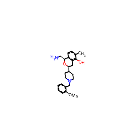 COc1ccccc1CN1CCC([C@@H]2Cc3c(ccc(C)c3O)[C@H](CN)O2)CC1